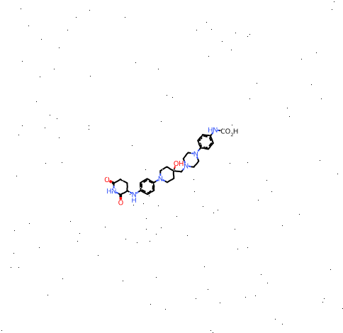 O=C(O)Nc1ccc(N2CCN(CC3(O)CCN(c4ccc(NC5CCC(=O)NC5=O)cc4)CC3)CC2)cc1